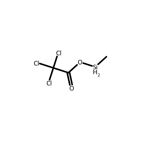 C[SiH2]OC(=O)C(Cl)(Cl)Cl